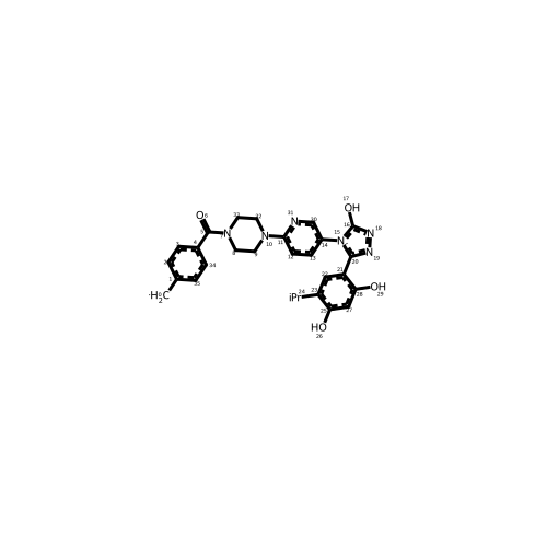 [CH2]c1ccc(C(=O)N2CCN(c3ccc(-n4c(O)nnc4-c4cc(C(C)C)c(O)cc4O)cn3)CC2)cc1